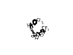 Cn1nc(C(F)(F)F)cc1-c1cn(CCCN2C[C@@H]3C[C@]3(c3ccc(C(F)(F)F)cc3)C2)c(=O)[nH]c1=O